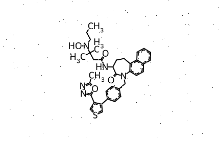 CCCN(O)C(C)(C)CC(=O)NC1CCc2c(ccc3ccccc23)N(Cc2ccc(-c3cscc3-c3nnc(C)o3)cc2)C1=O